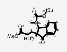 COC(=O)CCC1(C(=O)O)C(=O)c2ccccc2C1N(C)C(=O)OC(C)(C)C